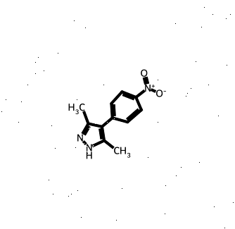 Cc1n[nH]c(C)c1-c1ccc([N+](=O)[O-])cc1